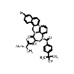 CN[C@@H](C)C(=O)NC1CN(C(=O)c2ccc(C(C)(C)O)cc2)c2ccccc2N(Cc2c(OC)ccc3cc(Br)ccc23)C1=O